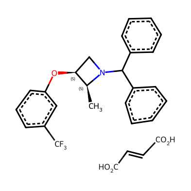 C[C@H]1[C@@H](Oc2cccc(C(F)(F)F)c2)CN1C(c1ccccc1)c1ccccc1.O=C(O)C=CC(=O)O